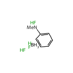 B.CNc1ccccc1.F.F.F